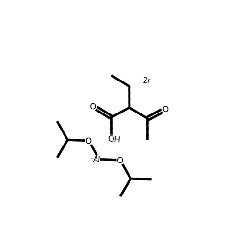 CC(C)[O][Al][O]C(C)C.CCC(C(C)=O)C(=O)O.[Zr]